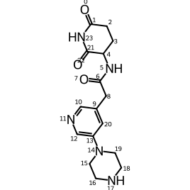 O=C1CCC(NC(=O)Cc2cncc(N3CCNCC3)c2)C(=O)N1